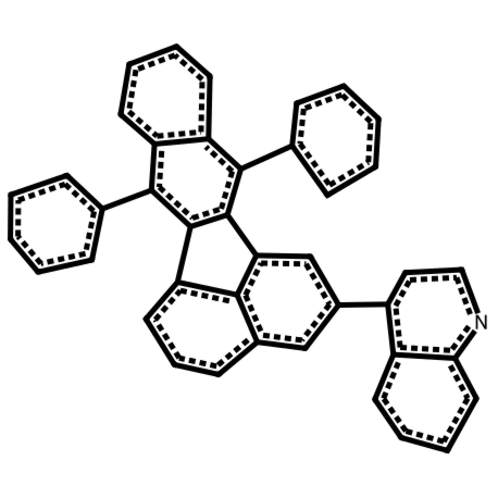 c1ccc(-c2c3c(c(-c4ccccc4)c4ccccc24)-c2cc(-c4ccnc5ccccc45)cc4cccc-3c24)cc1